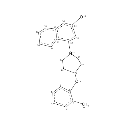 Cc1ccccc1OC1CCN(c2cc([O])cc3ccccc23)CC1